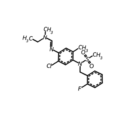 CCN(C)C=Nc1cc(C)c(N(Cc2ccccc2F)S(C)(=O)=O)cc1Cl